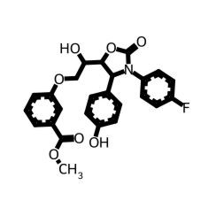 COC(=O)c1cccc(OCC(O)C2OC(=O)N(c3ccc(F)cc3)C2c2ccc(O)cc2)c1